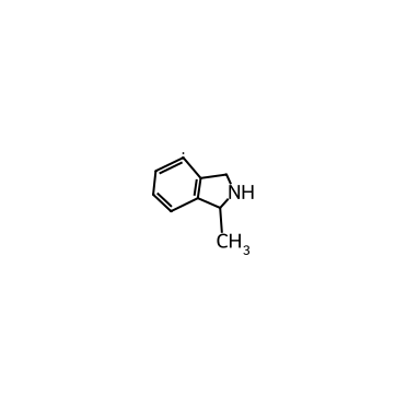 CC1NCc2[c]cccc21